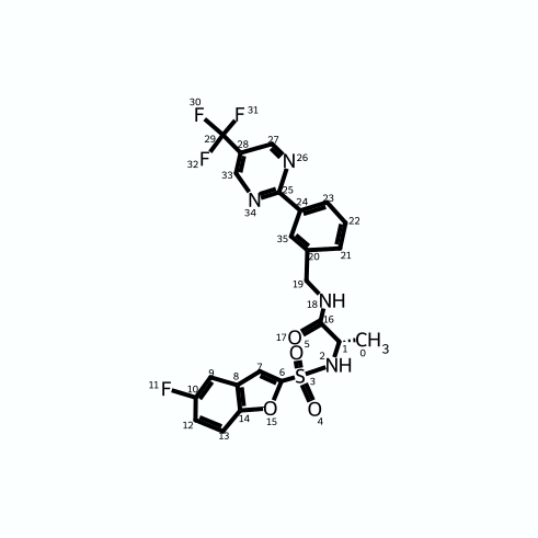 C[C@H](NS(=O)(=O)c1cc2cc(F)ccc2o1)C(=O)NCc1cccc(-c2ncc(C(F)(F)F)cn2)c1